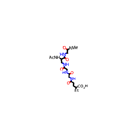 CCC(CCC(=O)NCC(=O)NCC(=O)NCC(NC(C)=O)C(=O)NCC(=O)NC)C(=O)O